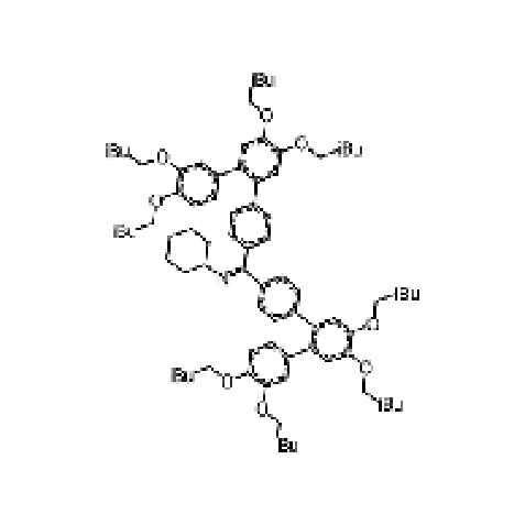 CCC(C)COc1ccc(-c2cc(OCC(C)CC)c(OCC(C)CC)cc2-c2ccc(C(=NC3CCCCC3)c3ccc(-c4cc(OCC(C)CC)c(OCC(C)CC)cc4-c4ccc(OCC(C)CC)c(OCC(C)CC)c4)cc3)cc2)cc1OCC(C)CC